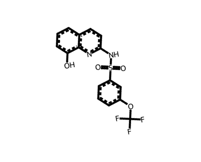 O=S(=O)(Nc1ccc2cccc(O)c2n1)c1cccc(OC(F)(F)F)c1